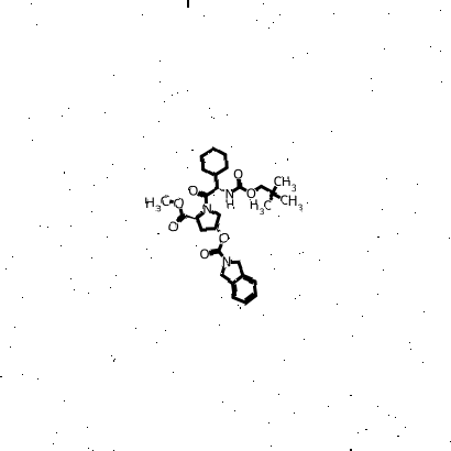 COC(=O)[C@@H]1C[C@@H](OC(=O)N2Cc3ccccc3C2)CN1C(=O)[C@@H](NC(=O)OCC(C)(C)C)C1CCCCC1